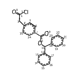 O=C(Cl)Cc1ccc(C(=O)OC(c2ccccc2)c2ccccc2)cc1